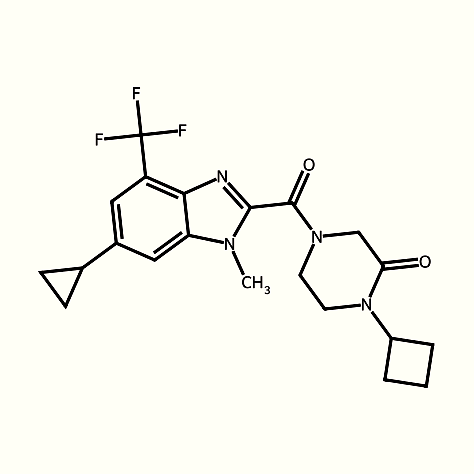 Cn1c(C(=O)N2CCN(C3CCC3)C(=O)C2)nc2c(C(F)(F)F)cc(C3CC3)cc21